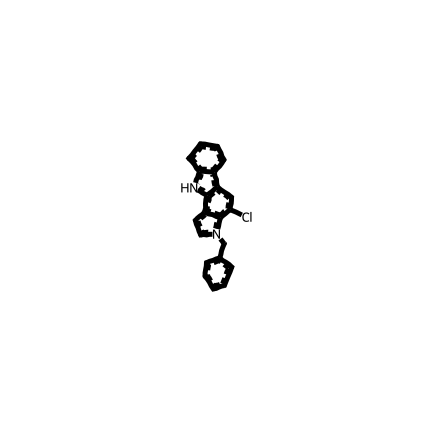 Clc1cc2c3ccccc3[nH]c2c2ccn(Cc3ccccc3)c12